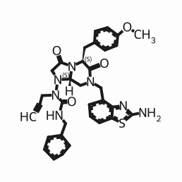 C#CCN(C(=O)NCc1ccccc1)N1CC(=O)N2[C@@H](Cc3ccc(OC)cc3)C(=O)N(Cc3cccc4sc(N)nc34)C[C@@H]21